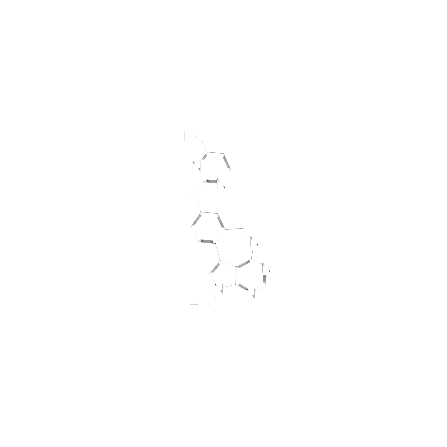 Cc1ccnc(Oc2ccc3c(c2)CNc2ncnc4c2c-3cn4C)n1